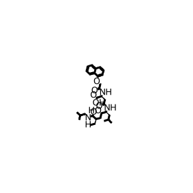 CC[C@H](C[C@H](O)[C@H](CC(C)C)NC(=O)C[C@H](NC(=O)COc1cccc2ccccc12)C(=O)O)C(=O)NCC(C)C